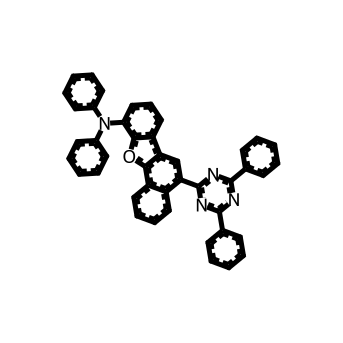 c1ccc(-c2nc(-c3ccccc3)nc(-c3cc4c5cccc(N(c6ccccc6)c6ccccc6)c5oc4c4ccccc34)n2)cc1